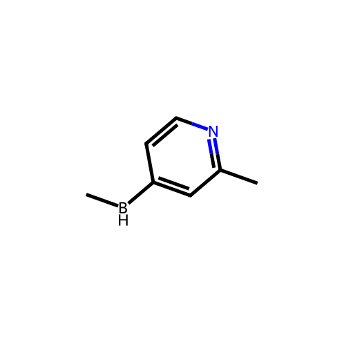 CBc1ccnc(C)c1